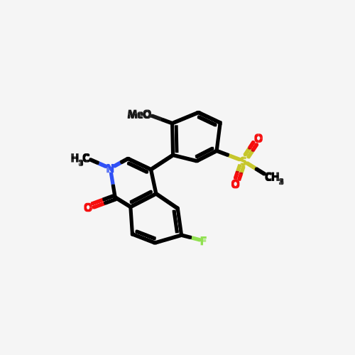 COc1ccc(S(C)(=O)=O)cc1-c1cn(C)c(=O)c2ccc(F)cc12